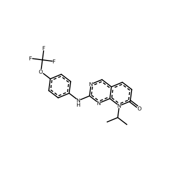 CC(C)n1c(=O)ccc2cnc(Nc3ccc(OC(F)(F)F)cc3)nc21